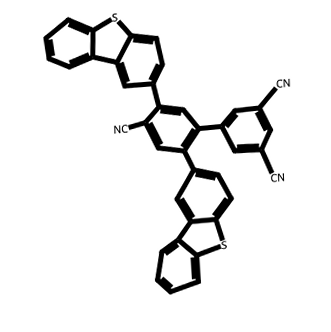 N#Cc1cc(C#N)cc(-c2cc(-c3ccc4sc5ccccc5c4c3)c(C#N)cc2-c2ccc3sc4ccccc4c3c2)c1